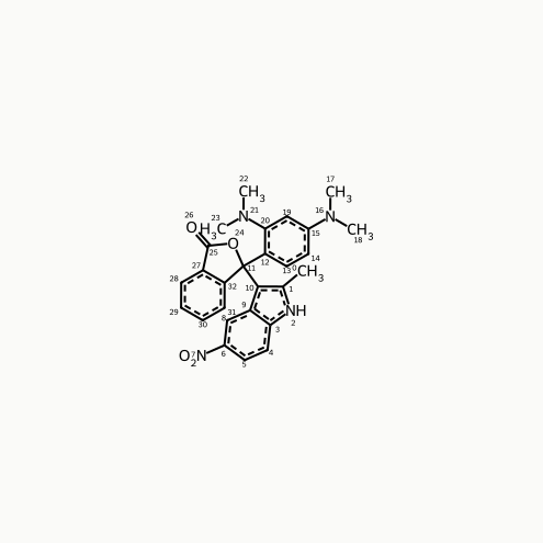 Cc1[nH]c2ccc([N+](=O)[O-])cc2c1C1(c2ccc(N(C)C)cc2N(C)C)OC(=O)c2ccccc21